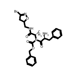 C[C@@H](C(=O)NCC1CC(Br)=NO1)N(C(=O)OCc1ccccc1)C(=O)[C@@H](N)Cc1ccccc1